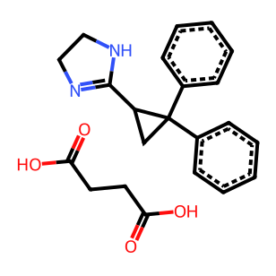 O=C(O)CCC(=O)O.c1ccc(C2(c3ccccc3)CC2C2=NCCN2)cc1